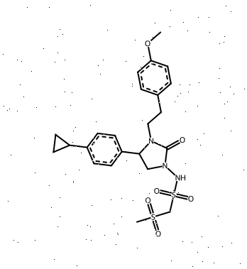 COc1ccc(CCN2C(=O)N(NS(=O)(=O)CS(C)(=O)=O)CC2c2ccc(C3CC3)cc2)cc1